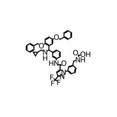 O=C(O)NCc1cccc(-n2nc(C(F)(F)F)cc2C(=O)Nc2cccc(C(NCC3CC3)c3cc(OCc4ccccc4)ccc3OCc3ccccc3)c2)c1